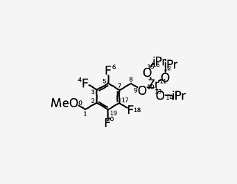 COCc1c(F)c(F)c(C[O][Zr]([O]C(C)C)([O]C(C)C)[O]C(C)C)c(F)c1F